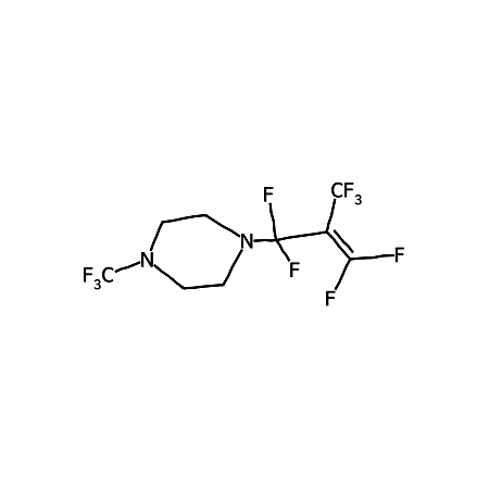 FC(F)=C(C(F)(F)F)C(F)(F)N1CCN(C(F)(F)F)CC1